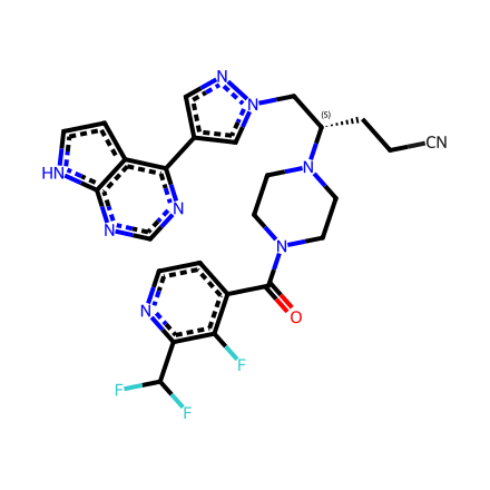 N#CCC[C@@H](Cn1cc(-c2ncnc3[nH]ccc23)cn1)N1CCN(C(=O)c2ccnc(C(F)F)c2F)CC1